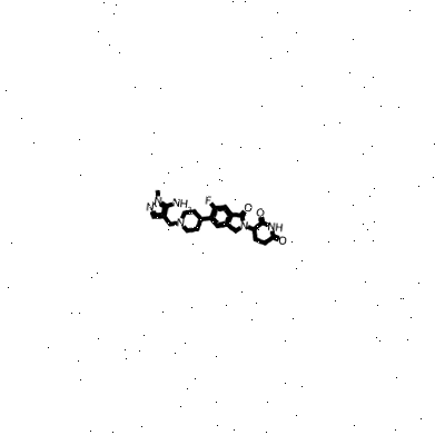 Cn1ncc(CN2CCC(c3cc4c(cc3F)C(=O)N(C3CCC(=O)NC3=O)C4)CC2)c1N